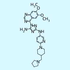 COc1cc2ncnc(-n3nc(Nc4ccc(N5CCC(CN6CCCC6)CC5)nc4)nc3N)c2cc1OC